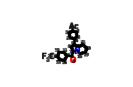 CC(=O)c1ccc(-c2cc(C(=O)c3ccc(C(F)(F)F)cc3)n3ccccc23)cc1